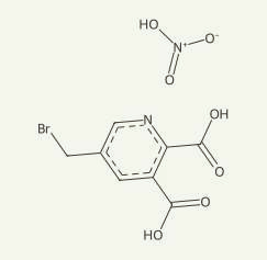 O=C(O)c1cc(CBr)cnc1C(=O)O.O=[N+]([O-])O